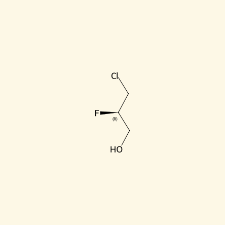 OC[C@@H](F)CCl